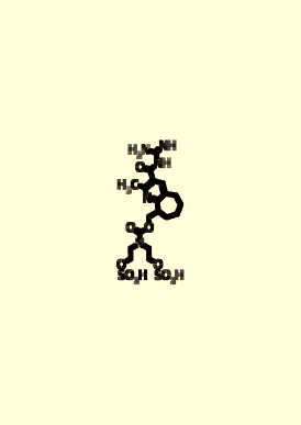 Cc1nc2c(cc1C(=O)NC(=N)N)CCCCC2COC(=O)N(CCOS(=O)(=O)O)CCOS(=O)(=O)O